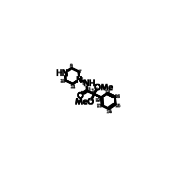 COC(OC)(C(=O)NN1CCNCC1)c1ccccc1